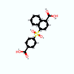 O=C(O)c1ccc(S(=O)(=O)c2ccc(C(=O)O)c3ccccc23)cc1